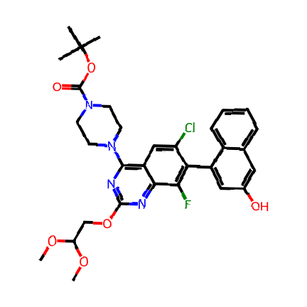 COC(COc1nc(N2CCN(C(=O)OC(C)(C)C)CC2)c2cc(Cl)c(-c3cc(O)cc4ccccc34)c(F)c2n1)OC